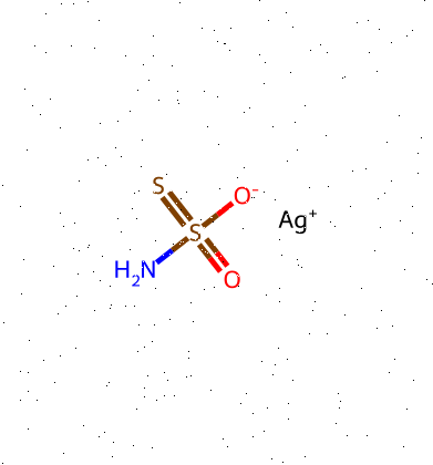 NS(=O)([O-])=S.[Ag+]